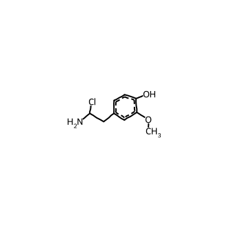 COc1cc(CC(N)Cl)ccc1O